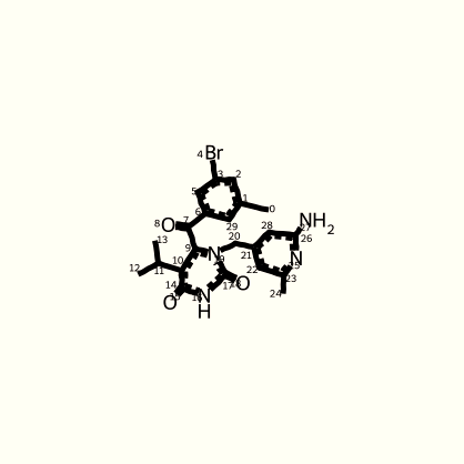 Cc1cc(Br)cc(C(=O)c2c(C(C)C)c(=O)[nH]c(=O)n2Cc2cc(C)nc(N)c2)c1